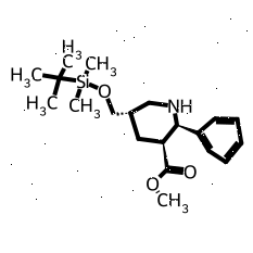 COC(=O)[C@H]1C[C@H](CO[Si](C)(C)C(C)(C)C)CN[C@H]1c1ccccc1